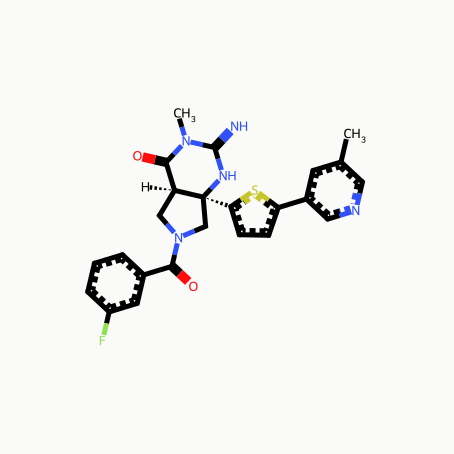 Cc1cncc(-c2ccc([C@]34CN(C(=O)c5cccc(F)c5)C[C@H]3C(=O)N(C)C(=N)N4)s2)c1